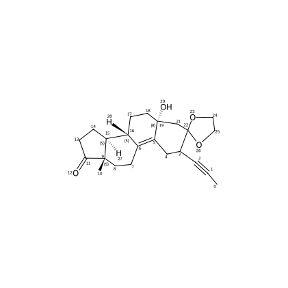 CC#CC1CC2=C3CC[C@]4(C)C(=O)CC[C@H]4[C@@H]3CC[C@@]2(O)CC12OCCO2